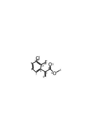 C=C(C(=O)OC)c1cccc(Cl)c1F